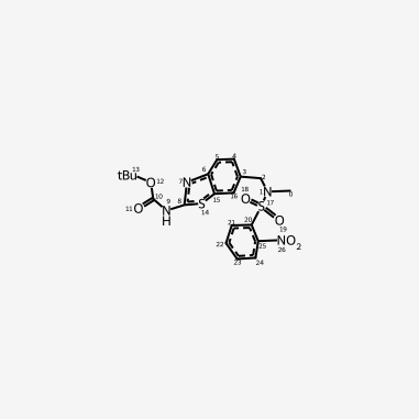 CN(Cc1ccc2nc(NC(=O)OC(C)(C)C)sc2c1)S(=O)(=O)c1ccccc1[N+](=O)[O-]